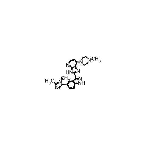 Cc1ncc(-c2ccc3[nH]nc(-c4nc5c(N6CCN(C)CC6)ccnc5[nH]4)c3c2)n1C